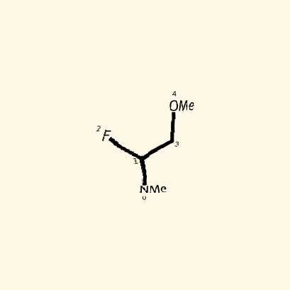 CNC(F)COC